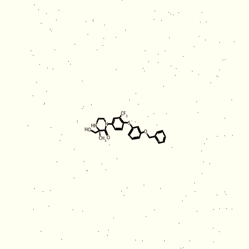 C[C@@]1(CO)NCCN(c2ccc(Sc3cccc(OCc4ccccc4)c3)c(C(F)(F)F)c2)C1=O